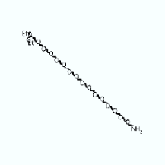 CCOP(CCOCCOCCOCCOCCOCCOCCOCCOCCOCCOCCOCCOCCOCCOCCOCCN)OCC